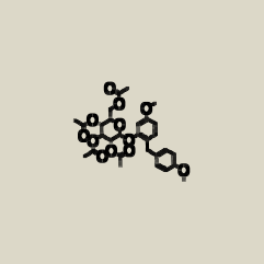 COc1ccc(Cc2ccc(OC)cc2O[C@@H]2O[C@H](COC(C)=O)[C@@H](OC(C)=O)[C@H](OC(C)=O)[C@H]2OC(C)=O)cc1